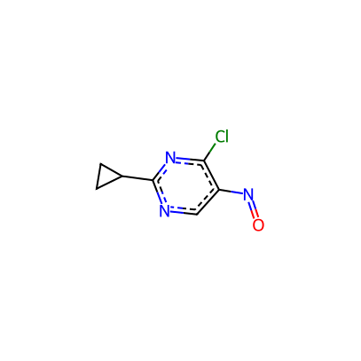 O=Nc1cnc(C2CC2)nc1Cl